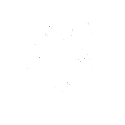 CCNc1ccn2ncc(C(=O)Nc3cc(-n4ncc(C5CN(C(=O)OC)C5)n4)ccc3C)c2c1